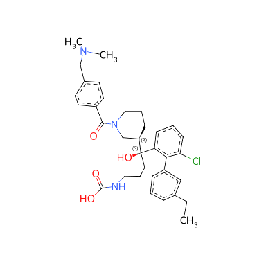 CCc1cccc(-c2c(Cl)cccc2[C@](O)(CCCNC(=O)O)[C@@H]2CCCN(C(=O)c3ccc(CN(C)C)cc3)C2)c1